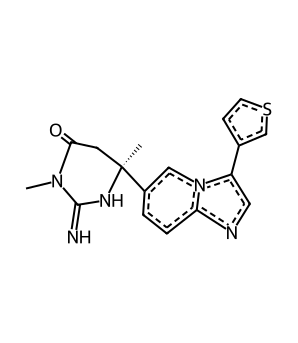 CN1C(=N)N[C@](C)(c2ccc3ncc(-c4ccsc4)n3c2)CC1=O